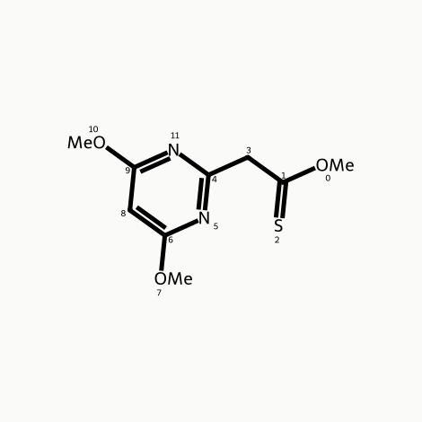 COC(=S)Cc1nc(OC)cc(OC)n1